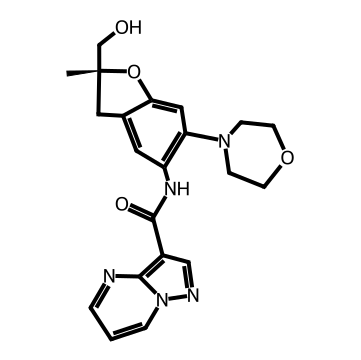 C[C@]1(CO)Cc2cc(NC(=O)c3cnn4cccnc34)c(N3CCOCC3)cc2O1